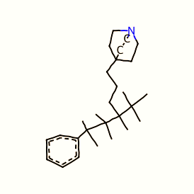 CC(C)(C)C(C)(CCCC12CCN(CC1)CC2)C(C)(C)C(C)(C)c1ccccc1